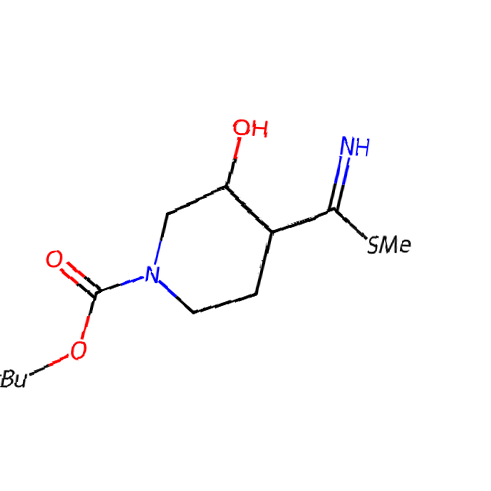 CSC(=N)C1CCN(C(=O)OC(C)(C)C)CC1O